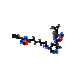 CC(C)(C)c1noc(CCCCCNc2cncc(-c3nc(C4CC4)no3)c2)n1